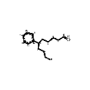 CCCCC(CCCCC=O)c1ccccc1